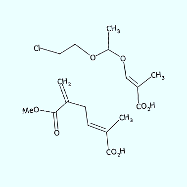 C=C(CC=C(C)C(=O)O)C(=O)OC.CC(=COC(C)OCCCl)C(=O)O